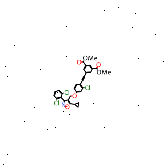 COC(=O)c1cc(C#Cc2ccc(OCc3c(-c4c(Cl)cccc4Cl)noc3C3CC3)cc2Cl)cc(C(=O)OC)c1